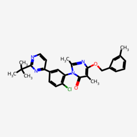 Cc1cccc(COc2nc(C)n(-c3cc(-c4ccnc(C(C)(C)C)n4)ccc3Cl)c(=O)c2C)c1